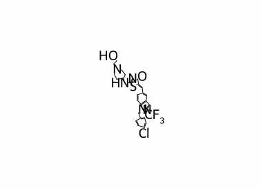 O=C1N=C(NC2CCN(CCO)CC2)S/C1=C\c1ccc2c(cnn2Cc2ccc(Cl)cc2C(F)(F)F)c1